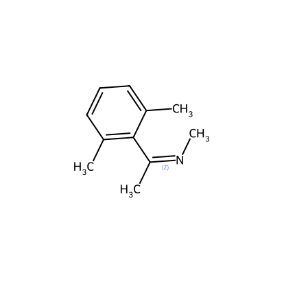 C/N=C(/C)c1c(C)cccc1C